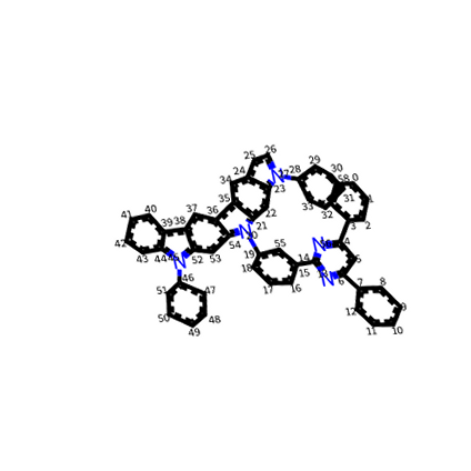 c1ccc(-c2cc(-c3ccccc3)nc(-c3cccc(-n4c5cc6c(ccn6-c6ccccc6)cc5c5cc6c7ccccc7n(-c7ccccc7)c6cc54)c3)n2)cc1